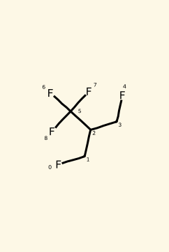 FCC(CF)C(F)(F)F